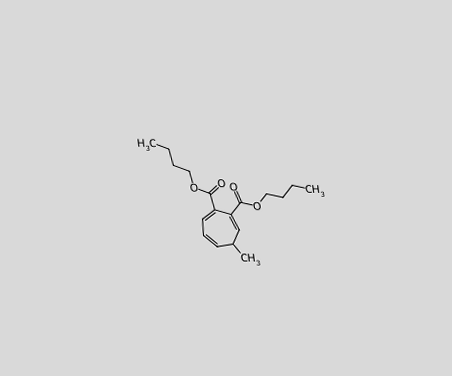 CCCCOC(=O)C1=CC=CC(C)C=C1C(=O)OCCCC